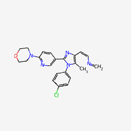 C=N/C=C\c1nc(-c2ccc(N3CCOCC3)nc2)n(-c2ccc(Cl)cc2)c1C